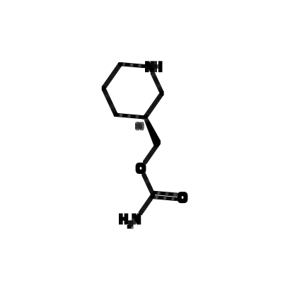 NC(=O)OC[C@H]1CCCNC1